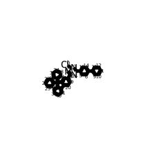 Clc1nc(-c2ccc(-c3ccccc3)cc2)nc(-c2ccc3c(c2)C(c2ccccc2)(c2ccccc2)c2ccccc2-3)n1